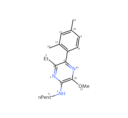 CCCCCNc1nc(CC)c(-c2ccc(C)cc2C)nc1OC